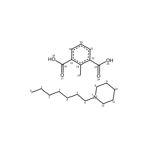 CCCCCCCN1CCCCC1.Cc1c(C(=O)O)cccc1C(=O)O